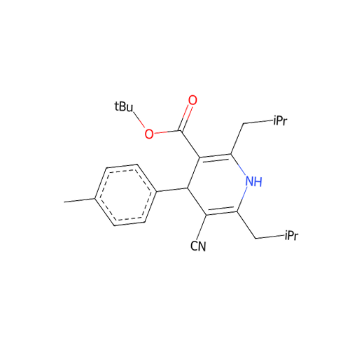 Cc1ccc(C2C(C#N)=C(CC(C)C)NC(CC(C)C)=C2C(=O)OC(C)(C)C)cc1